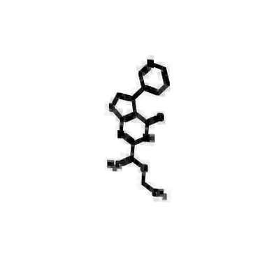 C=C(OCC)c1nc2scc(-c3cccnc3)c2c(=O)[nH]1